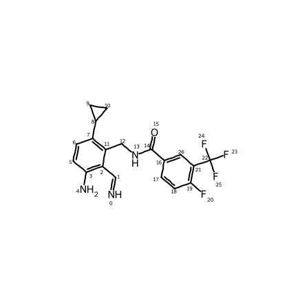 N=Cc1c(N)ccc(C2CC2)c1CNC(=O)c1ccc(F)c(C(F)(F)F)c1